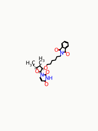 CC[C@H]1O[C@@H](n2ccc(=O)[nH]c2=O)[C@@H](OCCCCCCN2C(=O)c3ccccc3C2=O)C1C